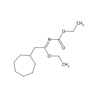 CCOC(=O)N=C(CC1CCCCCC1)OCC